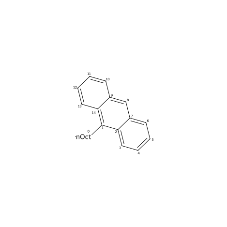 CCCCCCC[CH]c1c2ccccc2cc2ccccc12